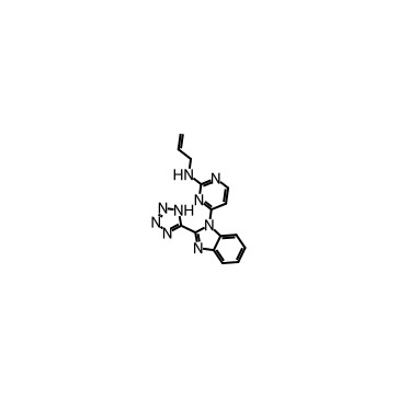 C=CCNc1nccc(-n2c(-c3nnn[nH]3)nc3ccccc32)n1